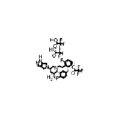 N[C@H]1C[C@@H](N2Cc3cn[nH]c3C2)CN(CCc2ccccc2F)[C@@H]1c1cc(F)ccc1F.O=C(O)C(F)(F)F.O=C(O)C(F)(F)F.O=C(O)C(F)(F)F